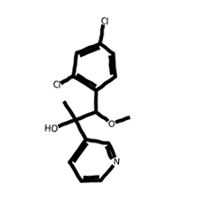 COC(c1ccc(Cl)cc1Cl)C(C)(O)c1cccnc1